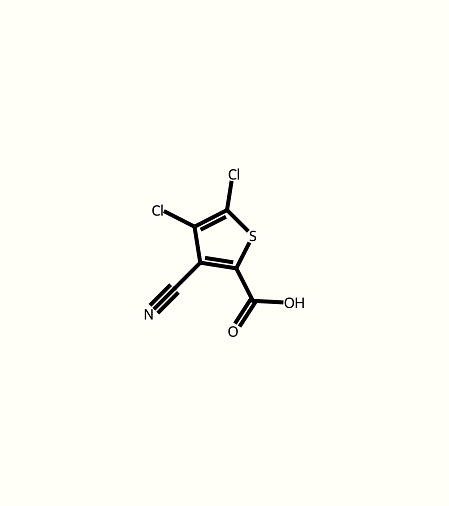 N#Cc1c(C(=O)O)sc(Cl)c1Cl